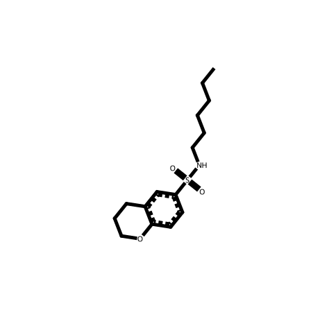 CCCCCCNS(=O)(=O)c1ccc2c(c1)CCCO2